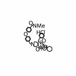 CNC(=O)c1ccc(Oc2ccc(CN3CCC4(CC3)C(=O)N[C@H](CC3(O)CCCCC3)C(=O)N4Cc3ccccc3)cc2)cc1.Cl